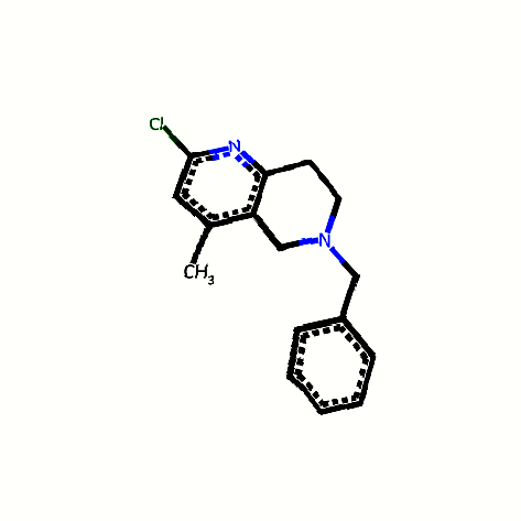 Cc1cc(Cl)nc2c1CN(Cc1ccccc1)CC2